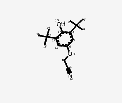 CC(C)(C)c1cc(OCC#N)cc(C(C)(C)C)c1O